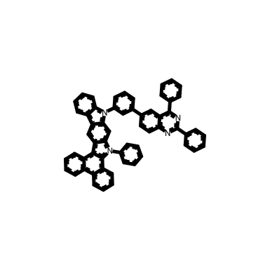 c1ccc(-c2nc(-c3ccccc3)c3cc(-c4cccc(-n5c6ccccc6c6cc7c8c9ccccc9c9ccccc9c8n(-c8ccccc8)c7cc65)c4)ccc3n2)cc1